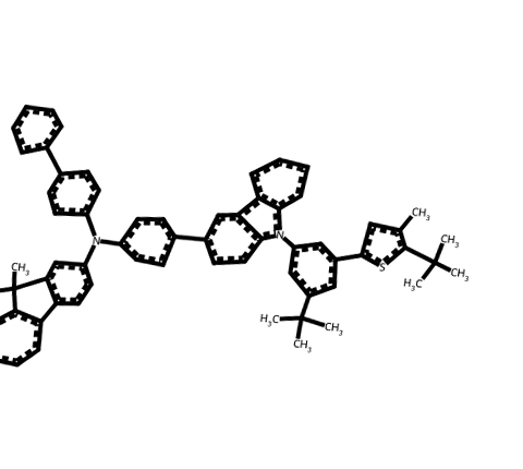 Cc1cc(-c2cc(-n3c4ccccc4c4cc(-c5ccc(N(c6ccc(-c7ccccc7)cc6)c6ccc7c(c6)C(C)(C)c6ccccc6-7)cc5)ccc43)cc(C(C)(C)C)c2)sc1C(C)(C)C